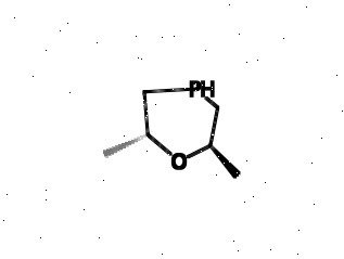 C[C@@H]1CPC[C@@H](C)O1